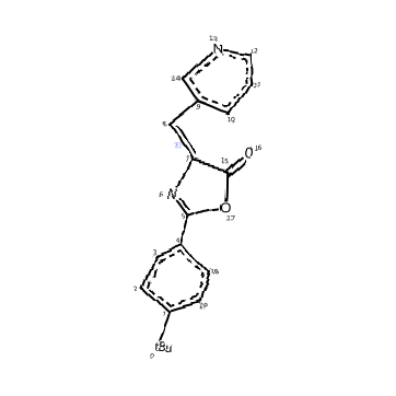 CC(C)(C)c1ccc(C2=N/C(=C/c3cccnc3)C(=O)O2)cc1